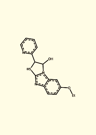 CCOc1ccc2nc3n(c2c1)C(O)C(c1ccccn1)[SH]3